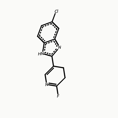 FC1=NC=C(c2nc3cc(Cl)ccc3[nH]2)CC1